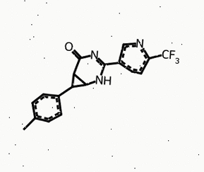 Cc1ccc(C2C3NC(c4ccc(C(F)(F)F)nc4)=NC(=O)C32)cc1